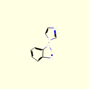 c1ccc2c(c1)nnn2-n1ccnc1